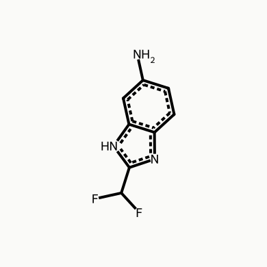 Nc1ccc2nc(C(F)F)[nH]c2c1